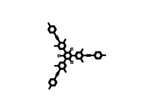 Cc1ccc(C#Cc2c(C)cc(-c3c(Cl)c(-c4cc(C)c(C#Cc5ccc(C)cc5)c(C)c4)c(Cl)c(-c4cc(C)c(C#Cc5ccc(C)cc5)c(C)c4)c3Cl)cc2C)cc1